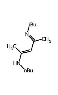 CCCCNC(C)=CC(C)=NC(C)CC